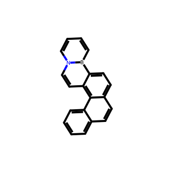 C1=CB2c3ccc4ccc5ccccc5c4c3C=CN2C=C1